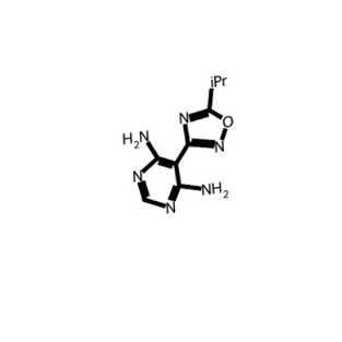 CC(C)c1nc(-c2c(N)ncnc2N)no1